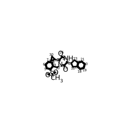 CS(=O)(=O)c1ccccc1CN1C(=O)[C@@H](C2Cc3ccccc3C2)NC(=O)[C@H]1C1CC1